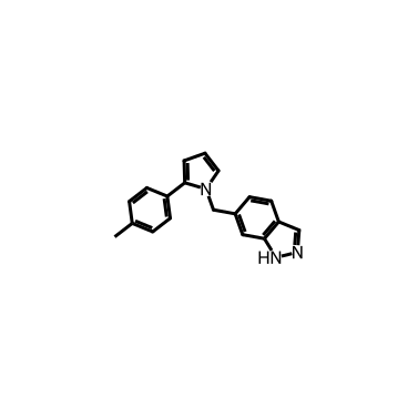 Cc1ccc(-c2cccn2Cc2ccc3cn[nH]c3c2)cc1